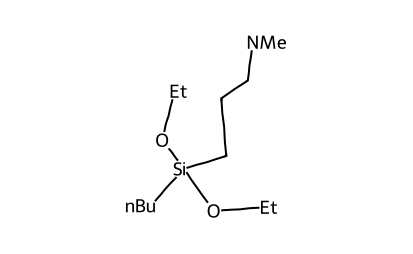 CCCC[Si](CCCNC)(OCC)OCC